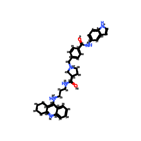 O=C(Nc1ccc2[nH]ccc2c1)c1ccc(CN2CCC(C(=O)NCCCNc3c4c(nc5ccccc35)CCCC4)C2)cc1